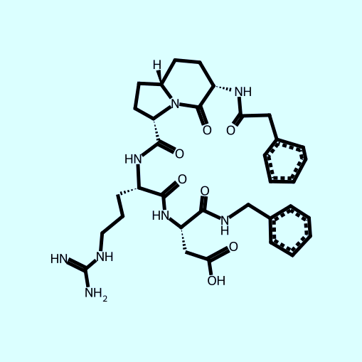 N=C(N)NCCC[C@H](NC(=O)[C@@H]1CC[C@@H]2CC[C@H](NC(=O)Cc3ccccc3)C(=O)N21)C(=O)N[C@@H](CC(=O)O)C(=O)NCc1ccccc1